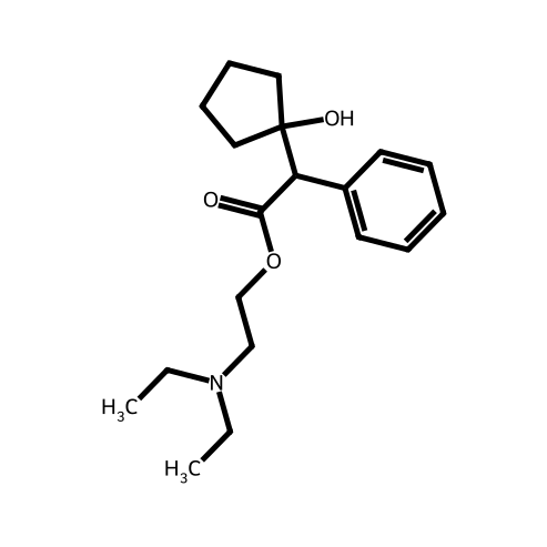 CCN(CC)CCOC(=O)C(c1ccccc1)C1(O)CCCC1